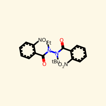 CCN(C(=O)c1ccccc1[N+](=O)[O-])N(C(=O)c1ccccc1[N+](=O)[O-])C(C)(C)C